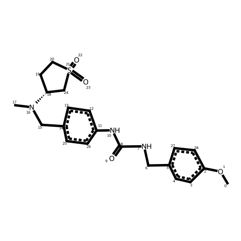 COc1ccc(CNC(=O)Nc2ccc(CN(C)[C@@H]3CCS(=O)(=O)C3)cc2)cc1